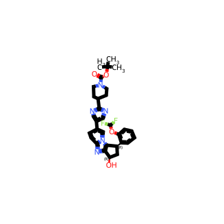 CC(C)(C)OC(=O)N1CCC(c2ncc(-c3ccc4nc5c(n4c3)[C@@H](c3ccccc3OC(F)F)C[C@H]5O)cn2)CC1